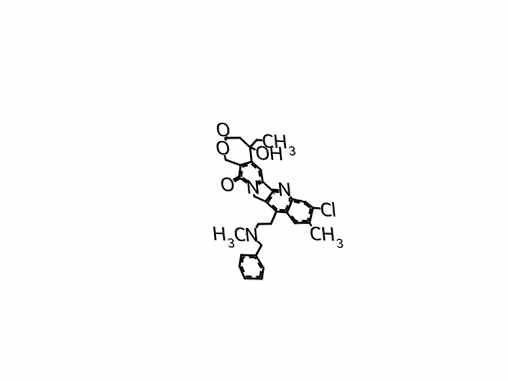 CCC1(O)CC(=O)OCc2c1cc1n(c2=O)Cc2c-1nc1cc(Cl)c(C)cc1c2CCN(C)Cc1ccccc1